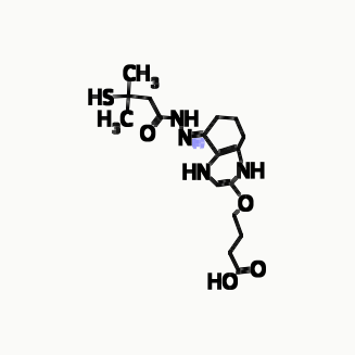 CC(C)(S)CC(=O)N/N=C1\CCCC2=C1NC=C(OCCCC(=O)O)N2